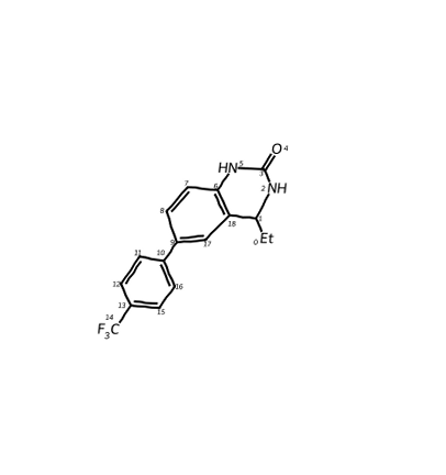 CCC1NC(=O)Nc2ccc(-c3ccc(C(F)(F)F)cc3)cc21